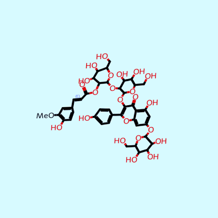 COc1cc(/C=C/C(=O)OC2C(OC3C(Oc4c(-c5ccc(O)cc5)oc5cc(OC6OC(CO)C(O)C(O)C6O)cc(O)c5c4=O)OC(CO)C(O)C3O)OC(CO)C(O)C2O)ccc1O